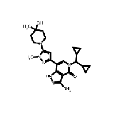 Cn1nc(-c2cn(C(C3CC3)C3CC3)c(=O)c3c(N)n[nH]c23)cc1N1CCC(C)(O)CC1